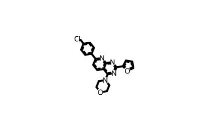 Clc1ccc(-c2ccc3c(N4CCOCC4)nc(-c4ccco4)nc3n2)cc1